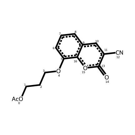 CC(=O)OCCCOc1cccc2cc(C#N)c(=O)oc12